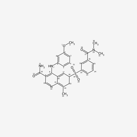 COc1cccc(Nc2c(C(N)=O)cnc3c2=CC(S(=O)(=O)c2cccc(C(=O)N(C)C)c2)CC=3C)c1